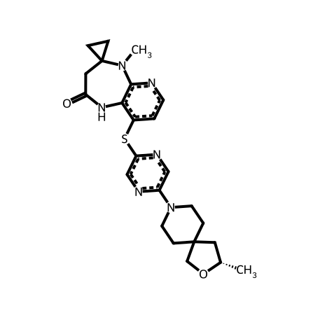 C[C@H]1CC2(CCN(c3cnc(Sc4ccnc5c4NC(=O)CC4(CC4)N5C)cn3)CC2)CO1